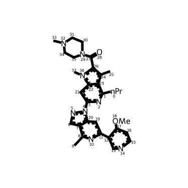 CCCc1nc(-n2ncc3c(C)nc(-c4cnccc4OC)cc32)cc2c1c(C)c(C(=O)N1CCN(C)CC1)n2C